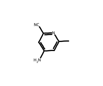 Cc1cc(N)cc(C#N)n1